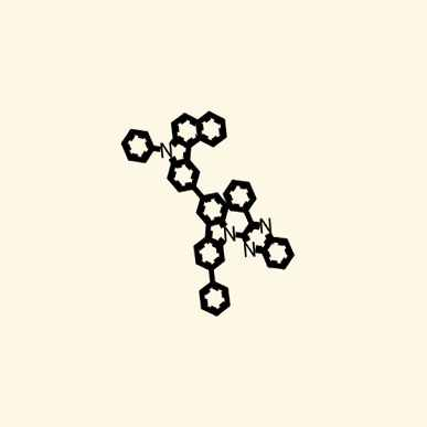 c1ccc(-c2ccc3c4cc(-c5ccc6c(c5)c5c7ccccc7ccc5n6-c5ccccc5)ccc4n(-c4nc5ccccc5nc4-c4ccccc4)c3c2)cc1